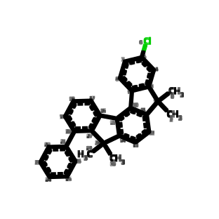 CC1(C)c2cc(Cl)ccc2-c2c1ccc1c2-c2cccc(-c3ccccc3)c2C1(C)C